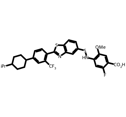 COc1cc(C(=O)O)c(F)cc1NSc1ccc2sc(-c3ccc(C4CCC(C(C)C)CC4)cc3C(F)(F)F)nc2c1